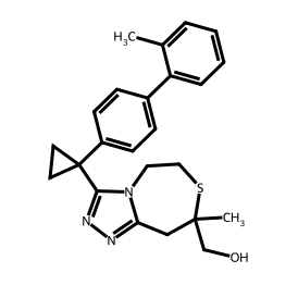 Cc1ccccc1-c1ccc(C2(c3nnc4n3CCSC(C)(CO)C4)CC2)cc1